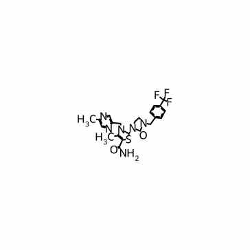 CC1=C(C(N)=O)SC(N2CCN(Cc3ccc(C(F)(F)F)cc3)C2=O)N1Cc1cnc(C)cn1